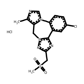 Cc1ncn2c1Cn1nc(CS(C)(=O)=O)nc1-c1cc(Cl)ccc1-2.Cl